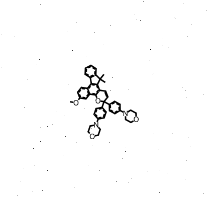 COc1ccc2c3c(c4c(c2c1)OC(c1ccc(N2CCOCC2)cc1)(c1ccc(N2CCOCC2)cc1)C=C4)C(C)(C)c1ccccc1-3